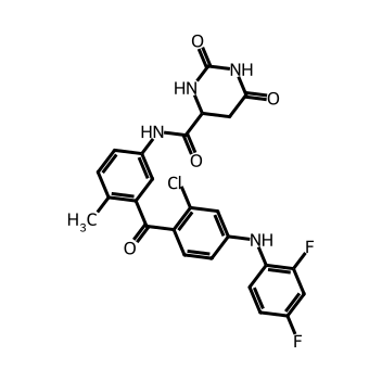 Cc1ccc(NC(=O)C2CC(=O)NC(=O)N2)cc1C(=O)c1ccc(Nc2ccc(F)cc2F)cc1Cl